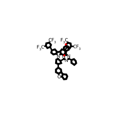 FC(F)(F)c1cc(-c2ccc3c(c2)c2cc(-c4cc(C(F)(F)F)cc(C(F)(F)F)c4)ccc2n3-c2ccc(-c3ccc4oc5ccccc5c4c3)cc2-c2nc(-c3ccccc3)nc(-c3ccccc3)n2)cc(C(F)(F)F)c1